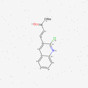 COC(=O)C=Cc1cc2ccccc2nc1Cl